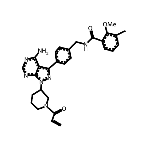 C=CC(=O)N1CCCC(n2nc(-c3ccc(CNC(=O)c4cccc(C)c4OC)cc3)c3c(N)ncnc32)C1